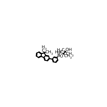 CC1(C)c2ccccc2-c2ccc(-c3cccc(BOC(C)(C)C(C)(C)O)c3)cc21